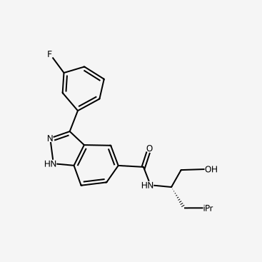 CC(C)C[C@@H](CO)NC(=O)c1ccc2[nH]nc(-c3cccc(F)c3)c2c1